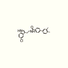 Cc1ccc(-c2ccc(C(=O)NCCc3c[nH]c4ccc(Cl)cc34)cc2)cc1C